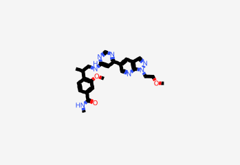 CNC(=O)c1ccc(C(C)CNc2cc(-c3cnc4c(cnn4CCOC)c3)ncn2)c(OC)c1